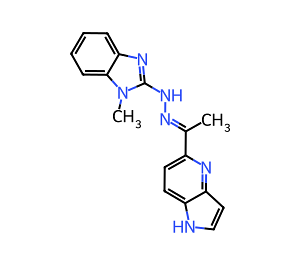 C/C(=N\Nc1nc2ccccc2n1C)c1ccc2[nH]ccc2n1